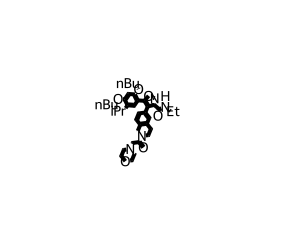 CCCCOc1cc(OCCCC)c(C(C)C)cc1-c1onc(C(=O)NCC)c1-c1ccc2c(c1)CCN(C(=O)CN1CCOCC1)C2